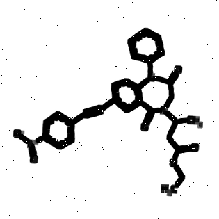 CCOC(=O)CC(C)N1CC(=O)N(c2ccccc2)c2ccc(C#Cc3ccc([N+](=O)[O-])cc3)cc2C1=O